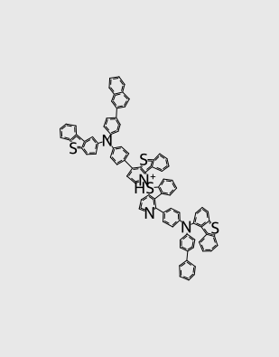 c1ccc(-c2ccc(N(c3ccc(-c4nccc5c4-c4ccccc4[SH]5[n+]4ccc(-c5ccc(N(c6ccc(-c7ccc8ccccc8c7)cc6)c6ccc7sc8ccccc8c7c6)cc5)c5sc6ccccc6c54)cc3)c3cccc4sc5ccccc5c34)cc2)cc1